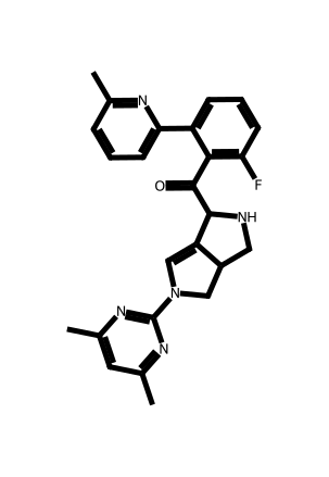 Cc1cccc(-c2cccc(F)c2C(=O)C2NCC3CN(c4nc(C)cc(C)n4)C=C32)n1